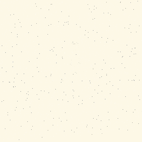 C[C@@H]1C[C@H](N(Cc2cc(C(F)(F)F)cc(C(F)(F)F)c2)c2ncc(-c3cnn(C)c3)cn2)C[C@H](C)N1C(=O)OC1CCCCC1